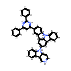 c1ccc(-c2cc(-c3ccc4c(c3)c3cc(-n5c6ccccc6c6cnccc65)cc5c6ccccc6n4c53)nc(-c3ccccc3)n2)cc1